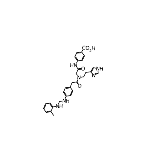 Cc1ccccc1NCNc1ccc(CC(=O)N(CCc2c[nH]cn2)CC(=O)Nc2ccc(C(=O)O)cc2)cc1